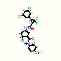 O=Cc1ccc(NC(=O)c2cc(NC(=O)C3C(c4cc(Cl)cc(Cl)c4)C3(Cl)Cl)ccc2Cl)c(F)c1